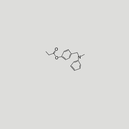 CCC(=O)Oc1ccc(CN(C)c2ccccc2)cc1